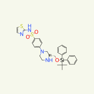 CC(C)(C)[Si](OC[C@H]1CN(c2ccc(S(=O)(=O)Nc3nccs3)cc2)CCN1)(c1ccccc1)c1ccccc1